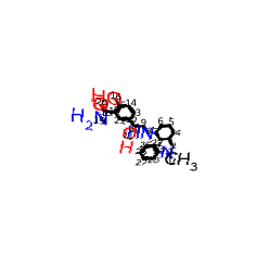 CN(CC1CCCC(NCC(O)c2ccc(O)c(C(N)=O)c2)C1)c1ccccc1